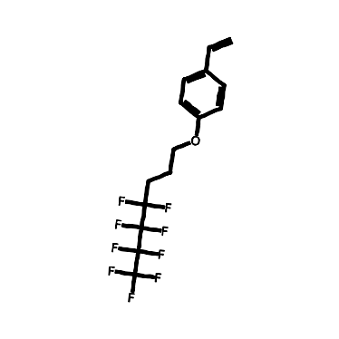 C=Cc1ccc(OCCCC(F)(F)C(F)(F)C(F)(F)C(F)(F)F)cc1